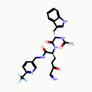 CC(=O)N[C@@H](Cc1c[nH]c2ccccc12)C(=O)N[C@@H](CCC(=O)C=N)C(=O)NCc1ccc(C(F)(F)F)nc1